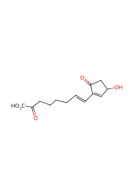 O=C(O)C(=O)CCCCC=CC1=CC(O)CC1=O